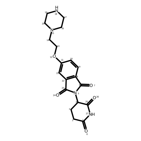 O=C1CCC(N2C(=O)c3ccc(OCCN4CCNCC4)cc3C2=O)C(=O)N1